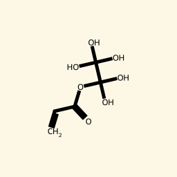 C=CC(=O)OC(O)(O)C(O)(O)O